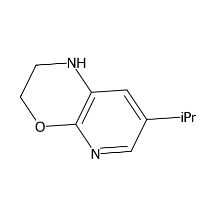 CC(C)c1cnc2c(c1)NCCO2